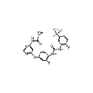 CC(F)(F)c1ccc(F)c(NC(=O)Nc2ccc(Oc3cc(NC(=O)C4CC4)ncn3)cc2F)c1